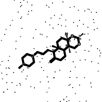 C=C1CCC2[C@]3(C)CO[C@@H](C)O[C@@H]3CC[C@@]2(C)[C@@H]1CCCN1CCN(C)CC1